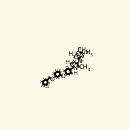 CC(NC(=O)c1ccc(Oc2cccc(OCc3ccccc3)c2)cc1)/C(N)=N/C(=O)OC(C)(C)C